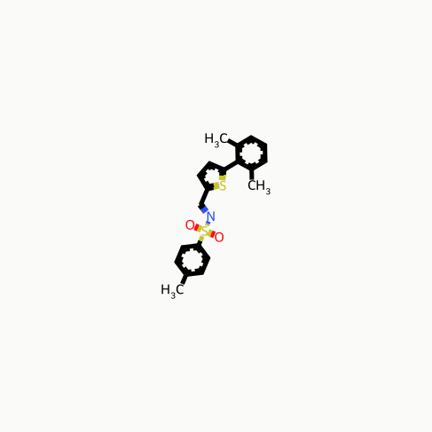 Cc1ccc(S(=O)(=O)N=Cc2ccc(-c3c(C)cccc3C)s2)cc1